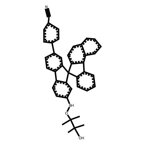 CC(C)(O)C(C)(C)OBc1ccc2c(c1)C1(c3cc(-c4ccc(C#N)cc4)ccc3-2)c2ccccc2-c2c1ccc1ccccc21